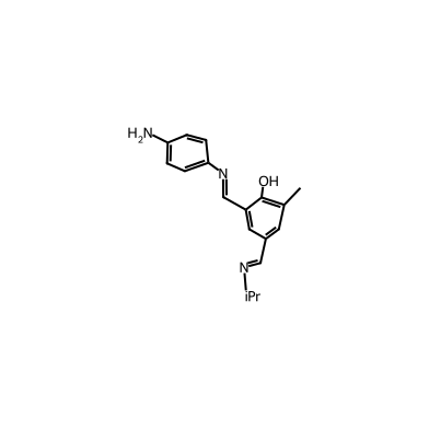 Cc1cc(C=NC(C)C)cc(C=Nc2ccc(N)cc2)c1O